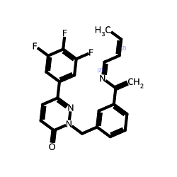 C=C(/N=C\C=C/C)c1cccc(Cn2nc(-c3cc(F)c(F)c(F)c3)ccc2=O)c1